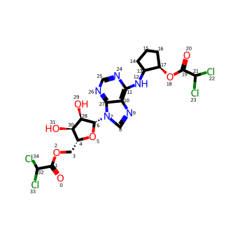 O=C(OC[C@H]1O[C@@H](n2cnc3c(NC4CCC[C@H]4OC(=O)C(Cl)Cl)ncnc32)[C@H](O)[C@@H]1O)C(Cl)Cl